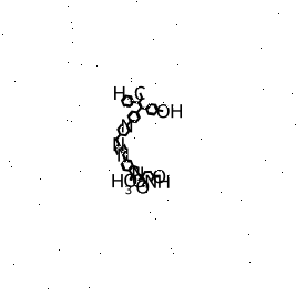 CC/C(=C(\c1ccc(O)cc1)c1ccc(N2CCC(CN3CCN(c4ccc5c(c4)CN(C4(C)CCC(=O)NC4=O)C5=O)CC3)CC2)cc1)c1ccccc1